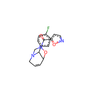 O=C(c1ccno1)N1CN2CC=CC(O1)C2c1ccc(F)cc1